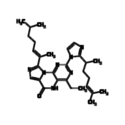 CCc1nc(-n2ccnc2C(C)CCC=C(C)C)nc2c1[nH]c(=O)c1cnc(/C(C)=C/CCC(C)C)n12